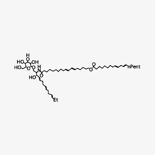 CCC=CCCC=CCCC=CC(O)C(COC1OC(CO)C(O)C(O)C1O)NC(=O)CCCCCCCCC=CC=CCCCCCOC(=O)CCCCCCCC=CCC=CCCCCC